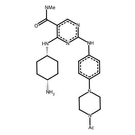 CNC(=O)c1cnc(Nc2ccc(N3CCN(C(C)=O)CC3)cc2)nc1N[C@H]1CC[C@@H](N)CC1